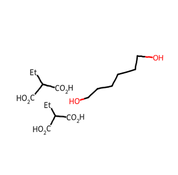 CCC(C(=O)O)C(=O)O.CCC(C(=O)O)C(=O)O.OCCCCCCO